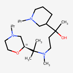 CC(C)N1CCCC(C(C)(O)CCN(C)C(C)(C)[C@@H]2CN(C(C)C)CCO2)C1